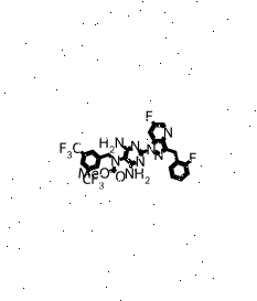 COC(=O)N(Cc1cc(C(F)(F)F)cc(C(F)(F)F)c1)c1c(N)nc(-n2nc(Cc3ccccc3F)c3ncc(F)cc32)nc1N